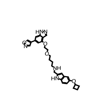 c1cc2[nH]c(CNCCCCOCCOc3cc(-c4cnoc4)cc4[nH]ncc34)cc2cc1OC1CCC1